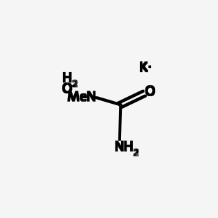 CNC(N)=O.O.[K]